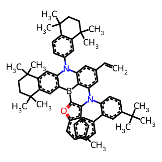 C=Cc1cc2c3c(c1)N(c1ccc(C(C)(C)C)cc1-c1ccccc1)c1c(oc4ccc(C)cc14)B3c1cc3c(cc1N2c1ccc2c(c1)C(C)(C)CCC2(C)C)C(C)(C)CCC3(C)C